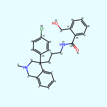 CN1Cc2ccccc2C(CCCNC(=O)c2ccccc2CO)(c2ccc(Cl)cc2)C1